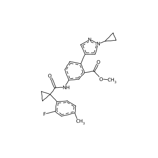 COC(=O)c1cc(NC(=O)C2(c3ccc(C)cc3F)CC2)ccc1-c1cnn(C2CC2)c1